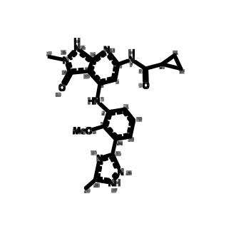 COc1c(Nc2cc(NC(=O)C3CC3)nc3[nH]n(C)c(=O)c23)cccc1-c1n[nH]c(C)n1